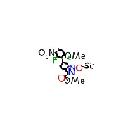 COC(=O)c1nn(COCC[Si](C)(C)C)c2c(F)c(-c3c(OC)ccc([N+](=O)[O-])c3F)ccc12